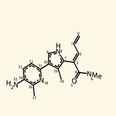 C=C/C=C(/C(=O)NC)c1[nH]cc(-c2ccc(N)c(C)n2)c1C